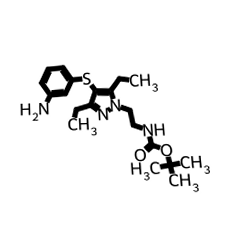 CCc1nn(CCNC(=O)OC(C)(C)C)c(CC)c1Sc1cccc(N)c1